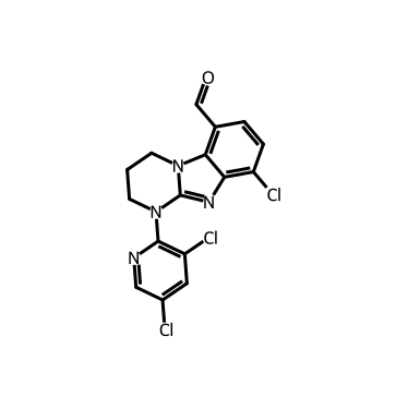 O=Cc1ccc(Cl)c2nc3n(c12)CCCN3c1ncc(Cl)cc1Cl